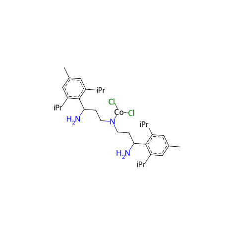 Cc1cc(C(C)C)c(C(N)CC[N](CCC(N)c2c(C(C)C)cc(C)cc2C(C)C)[Co]([Cl])[Cl])c(C(C)C)c1